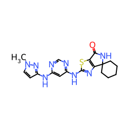 Cn1ccc(Nc2cc(Nc3nc4c(s3)C(=O)NC43CCCCC3)ncn2)n1